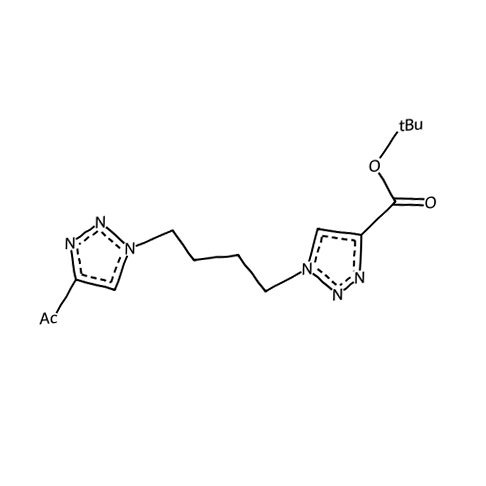 CC(=O)c1cn(CCCCn2cc(C(=O)OC(C)(C)C)nn2)nn1